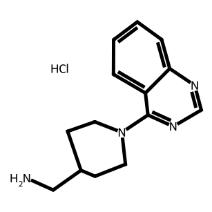 Cl.NCC1CCN(c2ncnc3ccccc23)CC1